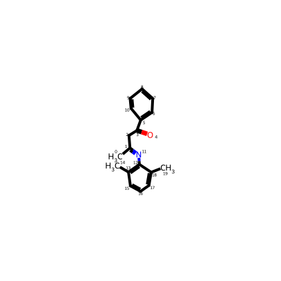 CC(CC(=O)c1ccccc1)=Nc1c(C)cccc1C